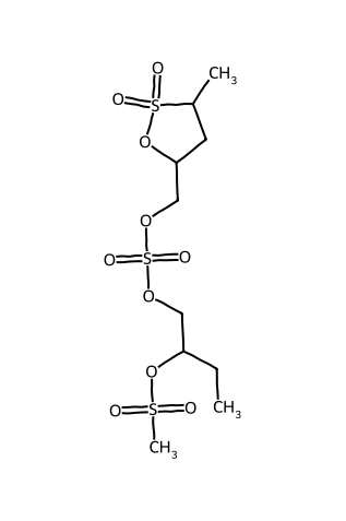 CCC(COS(=O)(=O)OCC1CC(C)S(=O)(=O)O1)OS(C)(=O)=O